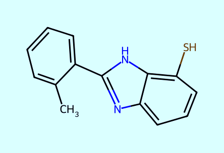 Cc1ccccc1-c1nc2cccc(S)c2[nH]1